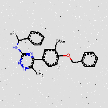 CCCC(Nc1nnc(C)c(-c2ccc(OCc3ccccc3)c(OC)c2)n1)c1ccccc1